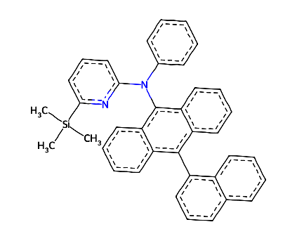 C[Si](C)(C)c1cccc(N(c2ccccc2)c2c3ccccc3c(-c3cccc4ccccc34)c3ccccc23)n1